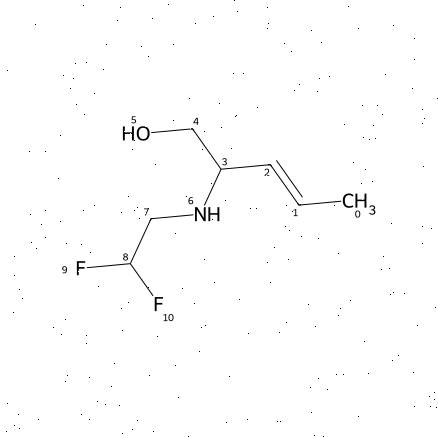 CC=CC(CO)NCC(F)F